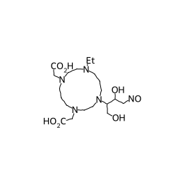 CCN1CCCN(C(CO)C(O)CN=O)CCN(CC(=O)O)CCCN(CC(=O)O)CC1